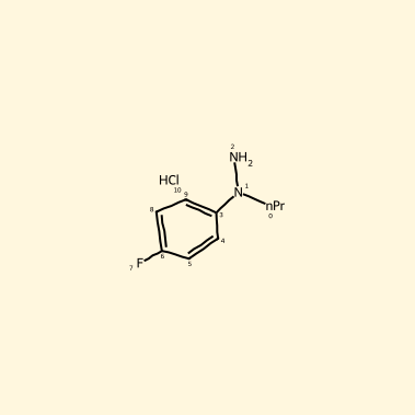 CCCN(N)c1ccc(F)cc1.Cl